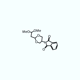 COC(CC1OCC(N2C(=O)c3ccccc3C2=O)CO1)OC